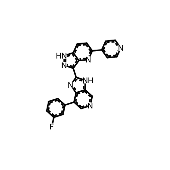 Fc1cccc(-c2cncc3[nH]c(-c4n[nH]c5ccc(-c6ccncc6)nc45)nc23)c1